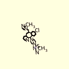 CS/C(=N\C#N)N1CCN(C2c3ccc(Cl)cc3C(Cn3ccnc3C)=Cc3cccnc32)CC1